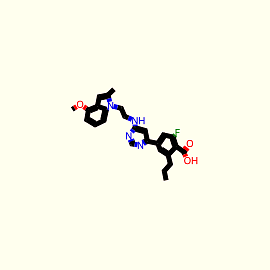 CCCc1cc(-c2cc(NCCn3c(C)cc4c(OC)cccc43)ncn2)cc(F)c1C(=O)O